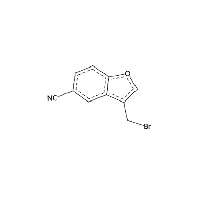 N#Cc1ccc2occ(CBr)c2c1